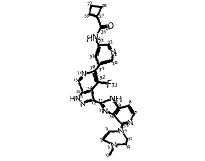 CN1CCN(c2nccc3[nH]c(-c4n[nH]c5cnc(-c6cncc(NC(=O)C7CCC7)c6)c(F)c45)nc23)CC1